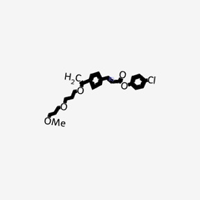 C=C(OCCCOCCCOC)c1ccc(/C=C/C(=O)Oc2ccc(Cl)cc2)cc1